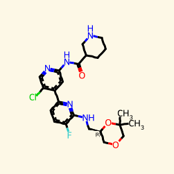 CC1(C)COC[C@@H](CNc2nc(-c3cc(NC(=O)C4CCCNC4)ncc3Cl)ccc2F)O1